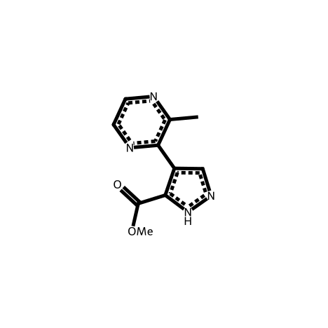 COC(=O)c1[nH]ncc1-c1nccnc1C